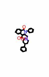 O=C(O)c1c(CN2CCC(c3ccccc3)CC2)n(-c2ccccc2)c(=O)c2ccccc12